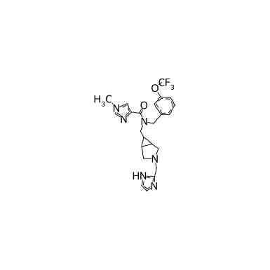 Cn1cnc(C(=O)N(Cc2cccc(OC(F)(F)F)c2)CC2C3CN(Cc4ncc[nH]4)CC32)c1